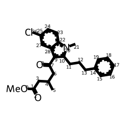 COC(=O)CC(C)CC(=O)c1c(CCCc2ccccc2)n(C)c2ccc(Cl)cc12